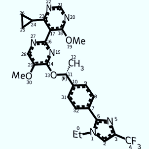 CCn1cc(C(F)(F)F)nc1-c1ccc([C@@H](C)Oc2nc(-c3c(OC)ncnc3C3CC3)ncc2OC)cc1